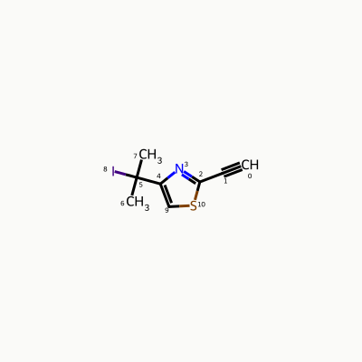 C#Cc1nc(C(C)(C)I)cs1